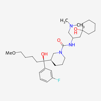 COCCCC[C@@](O)(c1cccc(F)c1)[C@@H]1CCCN(C(=O)NC(CN(C)C)CC2(O)CCCCC2)C1